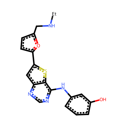 CCNCc1ccc(-c2cc3ncnc(Nc4cccc(O)c4)c3s2)o1